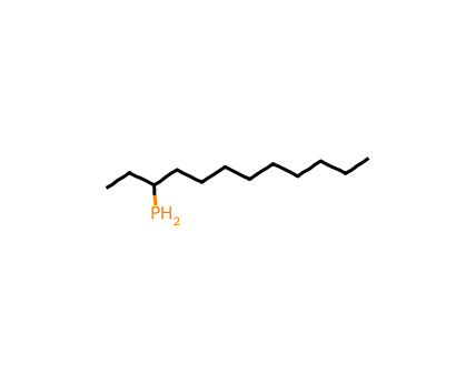 CCCCCCCCCC(P)CC